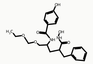 CCOCOCC(CC(Cc1ccccc1)C(=O)NO)NC(=O)c1ccc(O)cc1